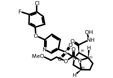 COCCOC(=O)N1[C@@H]2CC[C@H]1[C@H](C(=O)NO)N(S(=O)(=O)c1ccc(Oc3ccc(Cl)c(F)c3)nc1)C2